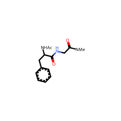 CNC(=O)CNC(=O)C(Cc1ccccc1)NC(C)=O